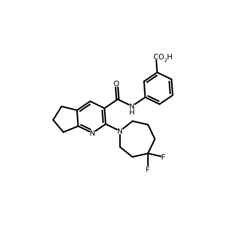 O=C(O)c1cccc(NC(=O)c2cc3c(nc2N2CCCC(F)(F)CC2)CCC3)c1